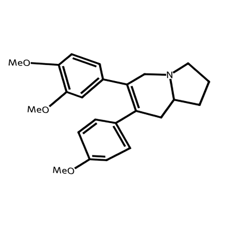 COc1ccc(C2=C(c3ccc(OC)c(OC)c3)CN3CCCC3C2)cc1